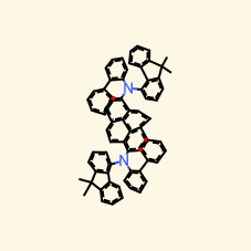 CC1(C)c2ccccc2-c2c(N(c3ccccc3-c3ccccc3)c3ccc4ccc5c(N(c6ccccc6-c6ccccc6)c6cccc7c6-c6ccccc6C7(C)C)ccc6ccc3c4c65)cccc21